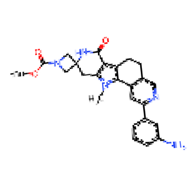 Cn1c2c(c3c1-c1cc(-c4cccc(N)c4)ncc1CC3)C(=O)NC1(C2)CN(C(=O)OC(C)(C)C)C1